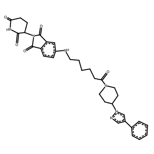 O=C1CCC(N2C(=O)c3ccc(NCCCCCC(=O)N4CCC(n5cc(-c6ccccc6)cn5)CC4)cc3C2=O)C(=O)N1